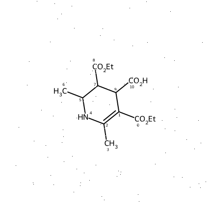 CCOC(=O)C1=C(C)NC(C)C(C(=O)OCC)C1C(=O)O